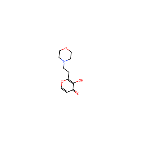 O=c1ccoc(CCN2CCOCC2)c1O